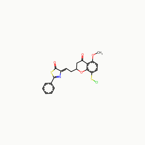 COc1ccc(SCl)c2c1C(=O)CC(CC=C1N=C(c3ccccc3)SC1=O)O2